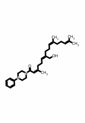 CC(C)=CCCC(C)=CCCC(=CCCC(C)=CC(=O)N1CCN(c2ccccc2)CC1)CO